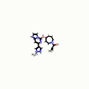 C#CC(=O)N1CCC[C@@H](Oc2nc(-c3cnn(C)c3)cc3nccn23)CC1